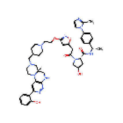 Cc1nccn1-c1ccc([C@H](C)NC(=O)[C@@H]2C[C@@H](O)CN2C(=O)Cc2cc(OCCN3CCC(CN4CCN5c6cc(-c7ccccc7O)nnc6NC[C@H]5C4)CC3)no2)cc1